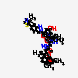 Cc1ncsc1-c1ccc(CNC(=O)C2CC(O)CN2C(=O)C(NC(=O)CNC(=O)CC2OC3OC4(C)CCC5C(C)CCC(C2C)C35OO4)C(C)(C)C)cc1